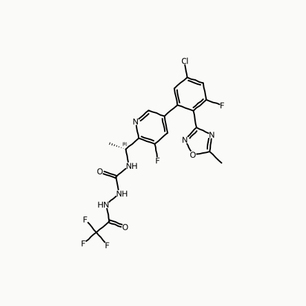 Cc1nc(-c2c(F)cc(Cl)cc2-c2cnc([C@@H](C)NC(=O)NNC(=O)C(F)(F)F)c(F)c2)no1